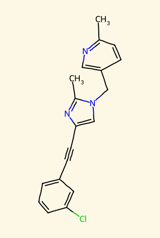 Cc1ccc(Cn2cc(C#Cc3cccc(Cl)c3)nc2C)cn1